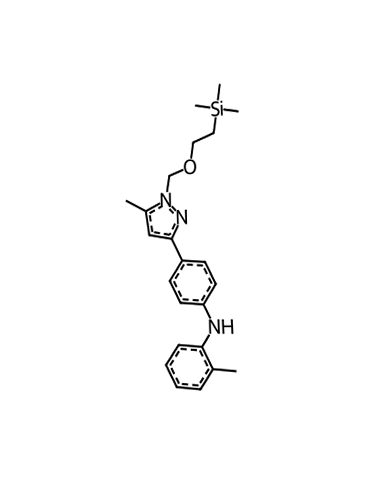 Cc1ccccc1Nc1ccc(-c2cc(C)n(COCC[Si](C)(C)C)n2)cc1